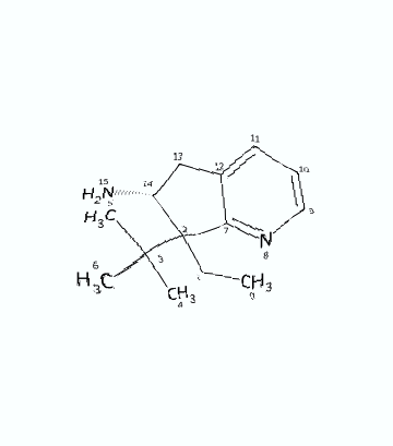 CCC1(C(C)(C)C)c2ncccc2C[C@H]1N